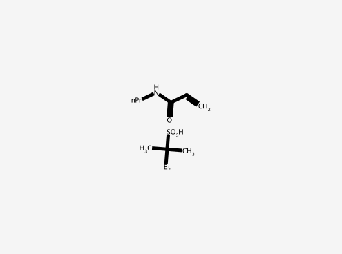 C=CC(=O)NCCC.CCC(C)(C)S(=O)(=O)O